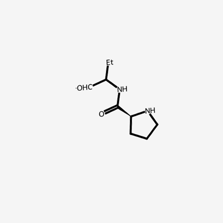 CCC([C]=O)NC(=O)[C@@H]1CCCN1